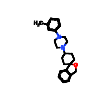 Cc1cccc(N2CCN(C3CCC4(CC3)OCc3ccccc34)CC2)c1